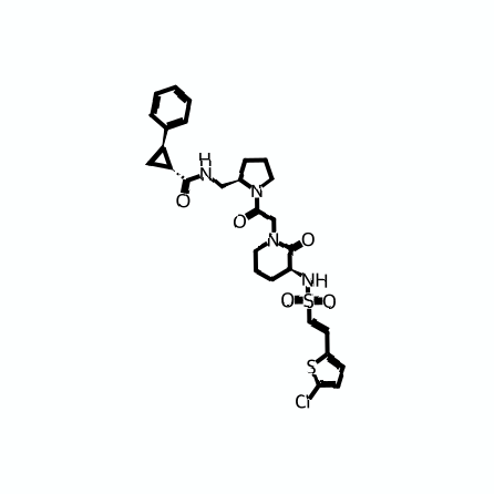 O=C(NC[C@H]1CCCN1C(=O)CN1CCC[C@H](NS(=O)(=O)/C=C/c2ccc(Cl)s2)C1=O)[C@@H]1C[C@H]1c1ccccc1